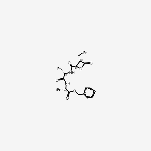 CC(C)C[C@@H]1C(=O)O[C@H]1C(=O)N[C@H](C(=O)N[C@H](C(=O)OCc1ccccc1)C(C)C)C(C)C